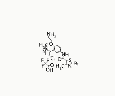 Cc1nc(Br)sc1C(=O)Nc1ccc(OCCN)c(-c2c(Cl)cnn2C)c1.O=C(O)C(F)(F)F